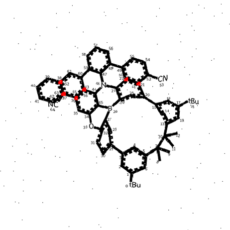 CC(C)(C)c1cc2cc(c1)C(C)(C)C(C)(C)c1cc(cc(C(C)(C)C)c1)-c1ccc3c(c1)B1c4cc-2ccc4Oc2cc(-c4ccccc4)cc(c21)N3c1c(-c2ccc(C#N)cc2)cccc1-c1ccc(C#N)cc1